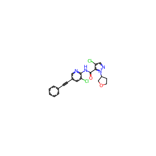 O=C(Nc1ncc(C#Cc2ccccc2)cc1Cl)c1c(Cl)cnn1C1CCOC1